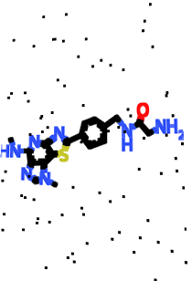 CNc1nc2nc(-c3ccc(CNC(=O)CN)cc3)sc2c2c1ncn2C